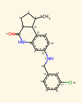 CC1CCC2C(=O)Nc3cc(NCc4cccc(Cl)c4)ccc3C12